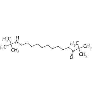 CC(C)(C)NCCCCCCCCCCC(=O)C(C)(C)C